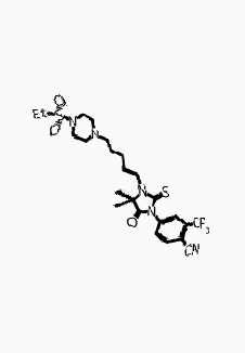 CCS(=O)(=O)N1CCN(CCCCCN2C(=S)N(c3ccc(C#N)c(C(F)(F)F)c3)C(=O)C2(C)C)CC1